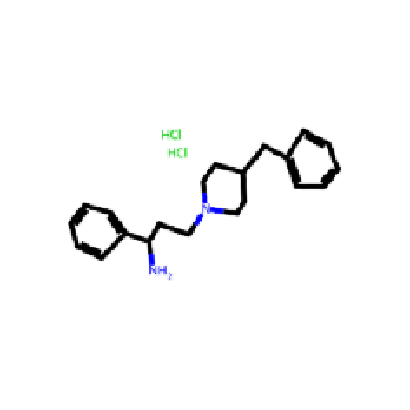 Cl.Cl.NC(CCN1CCC(Cc2ccccc2)CC1)c1ccccc1